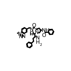 Cn1nnc2cc(CNC(=O)[C@@H]3C[C@@H](NC(=O)c4ccccc4)CN3C(=O)[C@H](N)CCc3ccccc3)ccc21